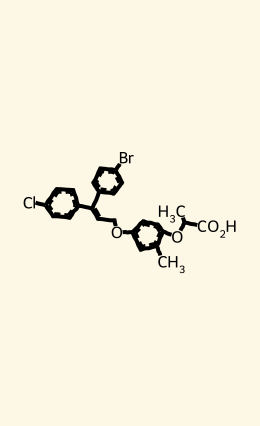 Cc1cc(OC/C=C(/c2ccc(Cl)cc2)c2ccc(Br)cc2)ccc1OC(C)C(=O)O